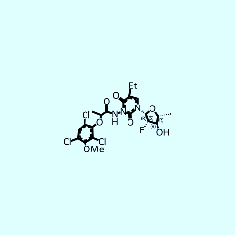 CCc1cn([C@@H]2O[C@H](C)[C@@H](O)[C@@H]2F)c(=O)n(NC(=O)C(C)Oc2c(Cl)cc(Cl)c(OC)c2Cl)c1=O